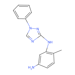 Cc1ccc(N)cc1Nc1ncn(-c2ccccc2)n1